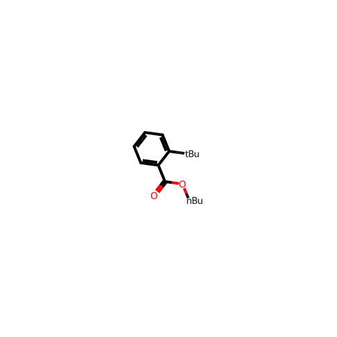 CCCCOC(=O)c1ccccc1C(C)(C)C